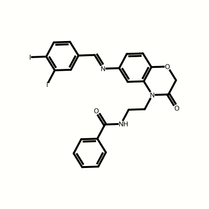 O=C(NCCN1C(=O)COc2ccc(/N=C/c3ccc(I)c(I)c3)cc21)c1ccccc1